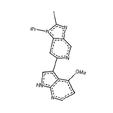 COc1ccnc2[nH]cc(-c3cc4c(cn3)nc(C)n4C(C)C)c12